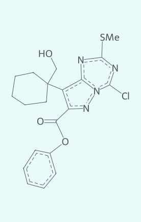 CSc1nc(Cl)n2nc(C(=O)Oc3ccccc3)c(C3(CO)CCCCC3)c2n1